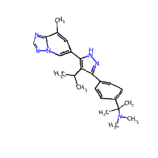 Cc1cc(-c2[nH]nc(-c3ccc(C(C)(C)N(C)C)cc3)c2C(C)C)cn2ncnc12